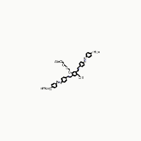 CCCCCCOc1ccc(/N=N/c2ccc(/C=C/c3cc(CO)c(/C=C/c4ccc(/N=N/c5ccc(CCCCCC)cc5)cc4)cc3OCOCOCOC)cc2)cc1